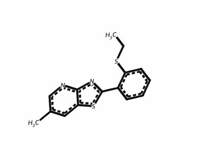 CCSc1ccccc1-c1nc2ncc(C)cc2s1